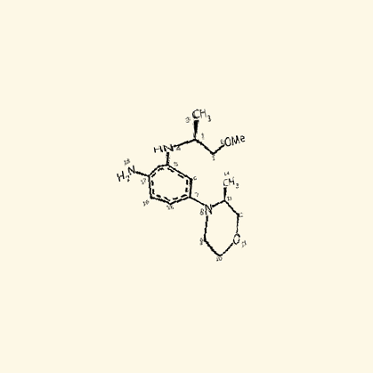 COC[C@H](C)Nc1cc(N2CCOC[C@@H]2C)ccc1N